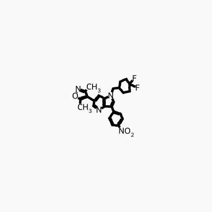 Cc1noc(C)c1-c1cnc2c(-c3ccc([N+](=O)[O-])cc3)cn(CC3CCC(F)(F)CC3)c2c1